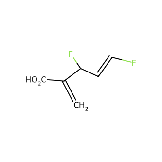 C=C(C(=O)O)C(F)C=CF